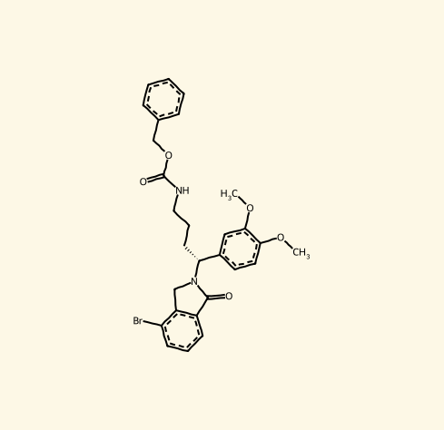 COc1ccc([C@@H](CCCNC(=O)OCc2ccccc2)N2Cc3c(Br)cccc3C2=O)cc1OC